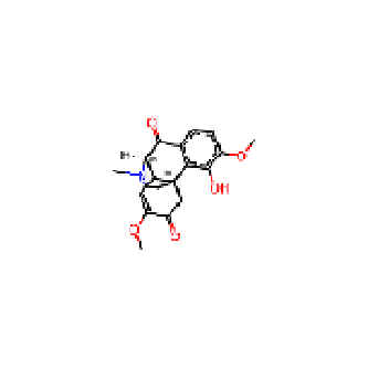 COC1=CC2[C@@H]3C(=O)c4ccc(OC)c(O)c4[C@]2(CCN3C)CC1=O